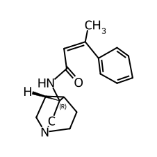 CC(=CC(=O)N[C@H]1CN2CCC1CC2)c1ccccc1